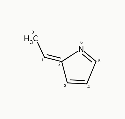 CC=C1C=CC=N1